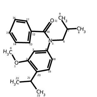 COc1cc(N(CC(C)C)C(=O)c2ccccc2)ccc1C(C)C